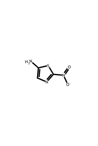 Nc1cnc([N+](=O)[O-])s1